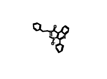 C[S+]([O-])c1c(-c2ccccc2)nc2ccccc2c1C(=O)NCCc1ccccc1